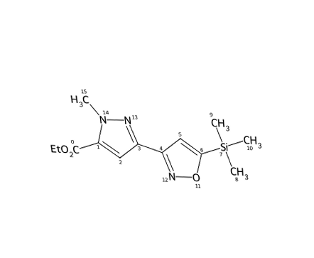 CCOC(=O)c1cc(-c2cc([Si](C)(C)C)on2)nn1C